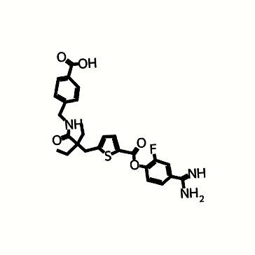 CCC(CC)(Cc1ccc(C(=O)Oc2ccc(C(=N)N)cc2F)s1)C(=O)NCc1ccc(C(=O)O)cc1